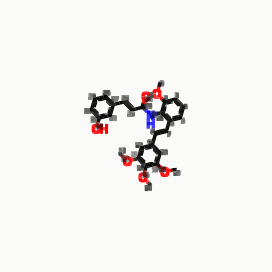 COc1cccc(/C=C/c2cc(OC)c(OC)c(OC)c2)c1NC(=O)/C=C/c1cccc(O)c1